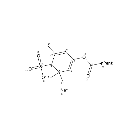 CCCCCC(=O)OC1=CC(C)(C)C(S(=O)(=O)[O-])C(C)=C1.[Na+]